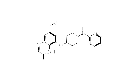 O=c1cnc2cc(CBr)cc(OC3CCC(Nc4ncccn4)CC3)c2[nH]1